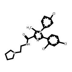 Cc1c(C(=O)NCCN2CCCC2)nc(-c2ccc(Cl)cc2Cl)n1-c1ccc(Cl)cc1